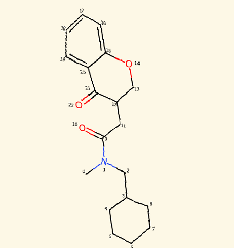 CN(CC1CCCCC1)C(=O)CC1COc2ccccc2C1=O